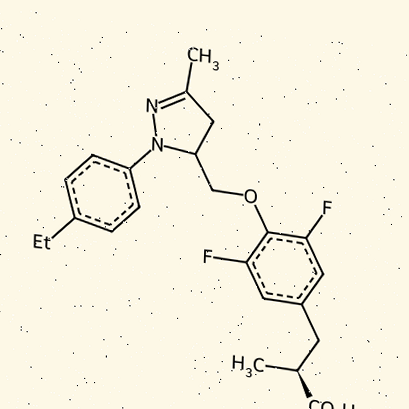 CCc1ccc(N2N=C(C)CC2COc2c(F)cc(C[C@H](C)C(=O)O)cc2F)cc1